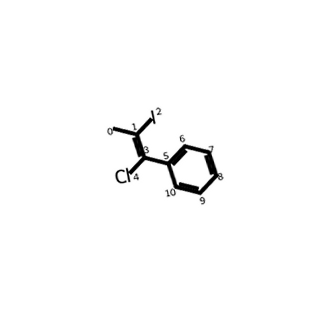 CC(I)=C(Cl)c1ccccc1